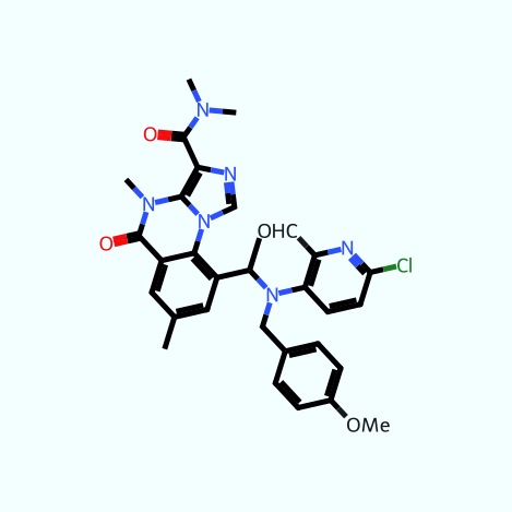 COc1ccc(CN(c2ccc(Cl)nc2C=O)C(C)c2cc(C)cc3c(=O)n(C)c4c(C(=O)N(C)C)ncn4c23)cc1